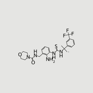 [CH2]C(C)(NC(=S)Nc1cccc(CNC(=O)N2CCOCC2)c1N)c1cccc(C(F)(F)F)c1